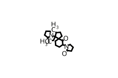 CCC1(N2CCCC2=O)C(C)CCC12CCCC(N1CCCC1=O)C2=O